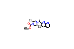 CC[C@H]1CN(C(C)c2ccc3cccnc3n2)[C@H](CC)CN1C(=O)OC(C)(C)C